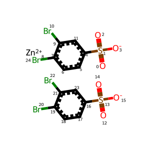 O=S(=O)([O-])c1ccc(Br)c(Br)c1.O=S(=O)([O-])c1ccc(Br)c(Br)c1.[Zn+2]